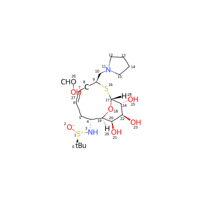 CC(C)(C)[S@@+]([O-])N[C@@H]1C/C=C\C[C@@H](CN2CCCC2)S[C@H]2O[C@H]1[C@H](O)[C@H](O)[C@H]2O.O=CO